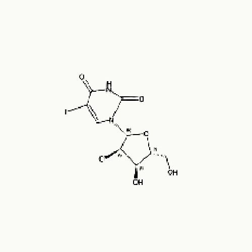 O=c1[nH]c(=O)n([C@@H]2O[C@H](CO)[C@@H](O)[C@H]2Cl)cc1I